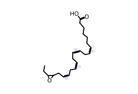 CCC1OC1C/C=C\C/C=C\C/C=C\C/C=C\CCCCCC(=O)O